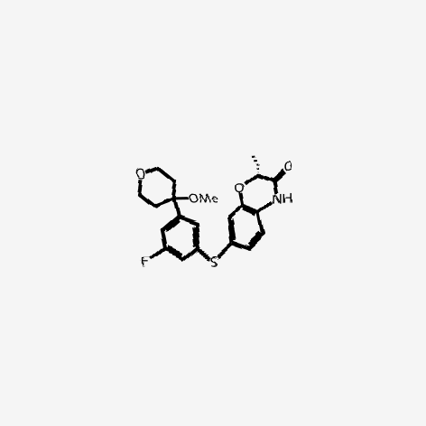 COC1(c2cc(F)cc(Sc3ccc4c(c3)O[C@H](C)C(=O)N4)c2)CCOCC1